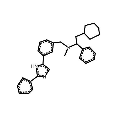 CN(Cc1cccc(-c2cnc(-c3ccccc3)[nH]2)c1)C(CC1CCCCC1)c1ccccc1